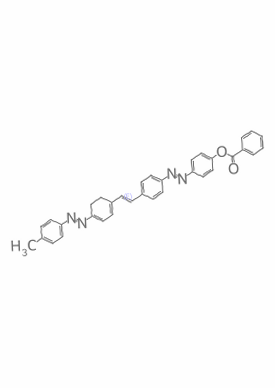 Cc1ccc(N=NC2=CC=C(/C=C/c3ccc(N=Nc4ccc(OC(=O)c5ccccc5)cc4)cc3)CC2)cc1